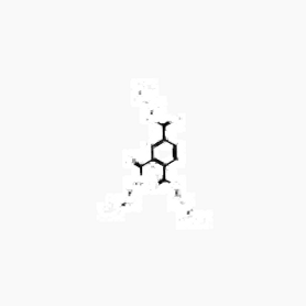 CC(C)(C)OOOC(=O)c1ccc(C(=O)OOOC(C)(C)C)c(C(=O)OOOC(C)(C)C)c1